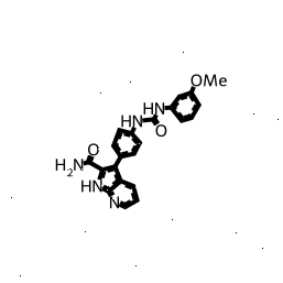 COc1cccc(NC(=O)Nc2ccc(-c3c(C(N)=O)[nH]c4ncccc34)cc2)c1